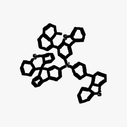 CC1CC=Cc2cccc(-c3cc(N(c4ccc(-c5cccc6sc7ccccc7c56)cc4)c4ccc5c(c4)C4(c6ccccc6Sc6ccccc64)c4ccccc4-5)cc4c3sc3ccccc34)c21